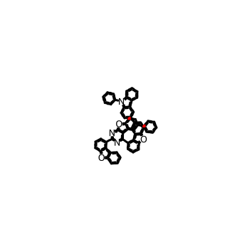 c1ccc(-c2ccc3oc4nc(-c5cccc6oc7ccccc7c56)nc(-c5cccc6oc7ccc(-c8ccc9c(c8)c8ccccc8n9-c8ccccc8)cc7c56)c4c3c2)cc1